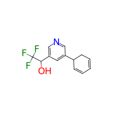 OC(c1cncc(C2C=CC=CC2)c1)C(F)(F)F